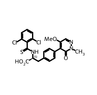 COc1cnn(C)c(=O)c1-c1ccc(C[C@H](NC(=S)c2c(Cl)cccc2Cl)C(=O)O)cc1